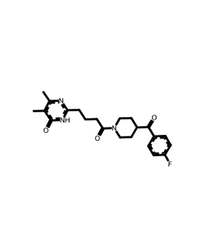 Cc1nc(CCCC(=O)N2CCC(C(=O)c3ccc(F)cc3)CC2)[nH]c(=O)c1C